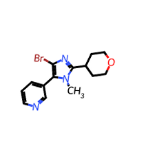 Cn1c(C2CCOCC2)nc(Br)c1-c1cccnc1